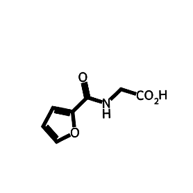 O=C(O)CNC(=O)c1ccco1